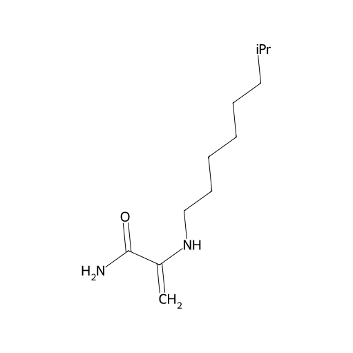 C=C(NCCCCCCC(C)C)C(N)=O